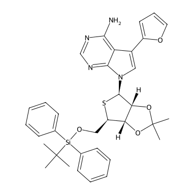 CC1(C)O[C@@H]2[C@H](O1)[C@@H](CO[Si](c1ccccc1)(c1ccccc1)C(C)(C)C)S[C@H]2n1cc(-c2ccco2)c2c(N)ncnc21